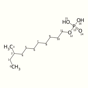 CCC(C)CCCCCCCCOP(=O)(O)O